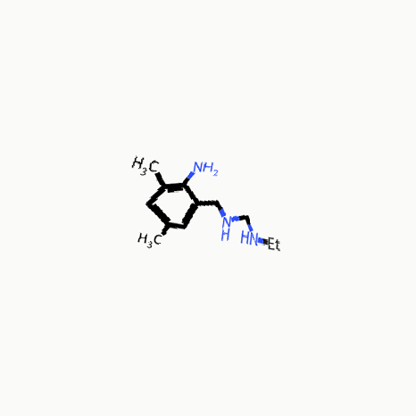 CCNCNCc1cc(C)cc(C)c1N